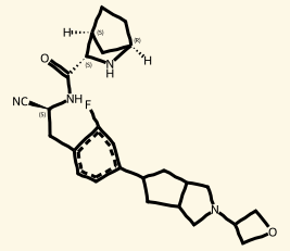 N#C[C@H](Cc1ccc(C2CC3CN(C4COC4)CC3C2)cc1F)NC(=O)[C@H]1N[C@@H]2CC[C@H]1C2